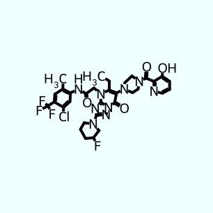 CCc1c(N2CCN(C(=O)c3ncccc3O)CC2)c(=O)n2nc(N3CCCC(F)C3)nc2n1CC(=O)Nc1cc(Cl)c(C(F)(F)F)cc1C